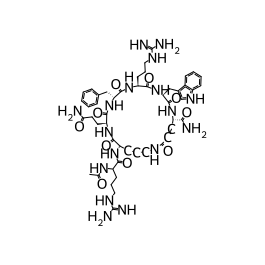 CC(=O)NC(CCCNC(=N)N)C(=O)N[C@H]1CCCNC(=O)CC[C@@H](C(N)=O)NC(=O)[C@H](Cc2c[nH]c3ccccc23)NC(=O)[C@H](CCCNC(=N)N)NC(=O)[C@@H](Cc2ccccc2)NC(=O)[C@H](CCC(N)=O)NC1=O